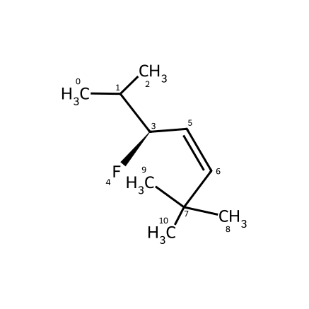 CC(C)[C@H](F)/C=C\C(C)(C)C